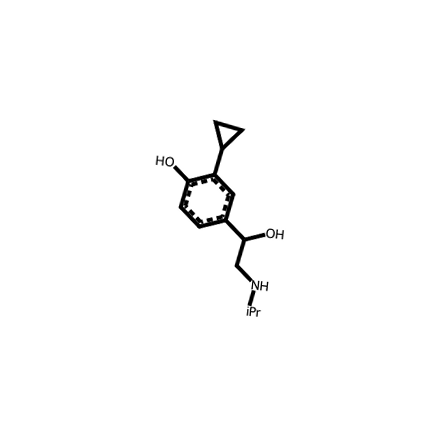 CC(C)NCC(O)c1ccc(O)c(C2CC2)c1